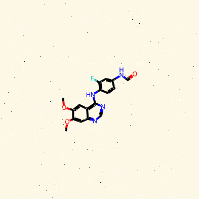 COc1cc2ncnc(Nc3ccc(NC=O)cc3F)c2cc1OC